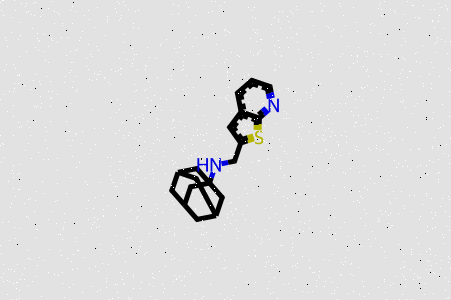 c1cnc2sc(CNC34CC5CC(CC(C5)C3)C4)cc2c1